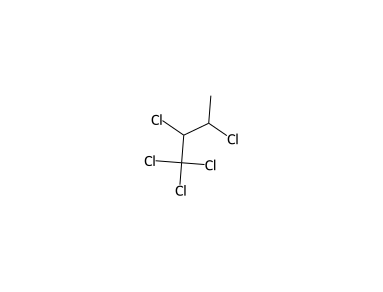 CC(Cl)C(Cl)C(Cl)(Cl)Cl